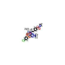 CCN(CC)c1ncc(N(S(C)(=O)=O)S(=O)(=O)c2ccc(Cl)cc2)c(N[C@@H](Cc2ccc(OC(=O)N3CCC3)cc2)C(=O)O)n1